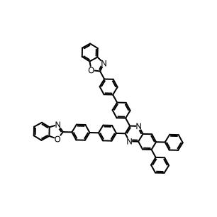 c1ccc(-c2cc3nc(-c4ccc(-c5ccc(-c6nc7ccccc7o6)cc5)cc4)c(-c4ccc(-c5ccc(-c6nc7ccccc7o6)cc5)cc4)nc3cc2-c2ccccc2)cc1